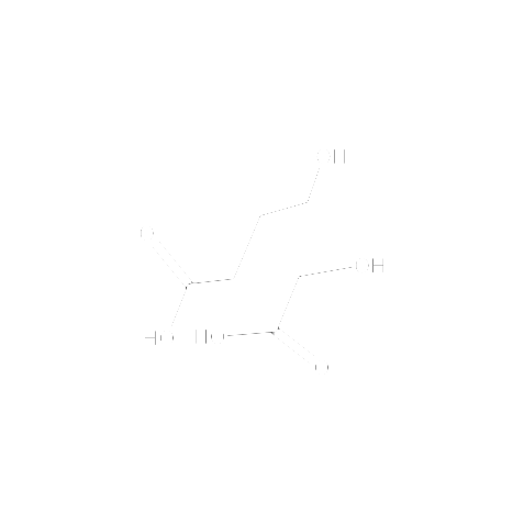 O=C(O)CCCO.O=C(O)CO